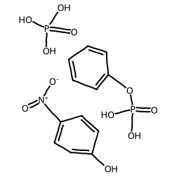 O=P(O)(O)O.O=P(O)(O)Oc1ccccc1.O=[N+]([O-])c1ccc(O)cc1